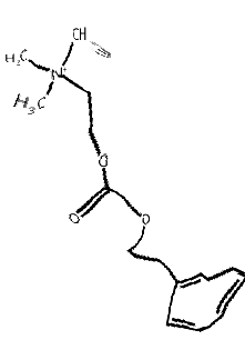 C[N+](C)(C)CCOC(=O)OCc1ccccc1